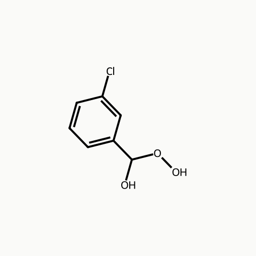 OOC(O)c1cccc(Cl)c1